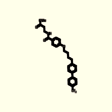 COC(=O)CCNC(=O)c1ccc(OCCCCc2ccc(-c3ccc(C(F)(F)F)cc3)cc2)cc1